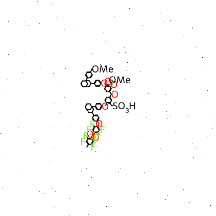 COCc1ccc(C23CCCC(CC(c4ccc(Oc5ccc(C(=O)c6ccc(Oc7ccc(C89CCCC(CC(c%10ccc(Oc%11c(F)c(F)c(S(=O)(=O)c%12c(F)c(F)c(C)c(F)c%12F)c(F)c%11F)cc%10)C8)C9)cc7)c(CS(=O)(=O)O)c6)cc5S(=O)(=O)OC)cc4)C2)C3)cc1